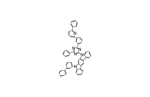 c1ccc(-c2cccc(-n3c4ccccc4c4cc5c6ccccc6n(-c6nc(-c7ccccc7)nc(-c7cccc(-c8cccc(-c9ccccc9)n8)c7)n6)c5cc43)c2)cc1